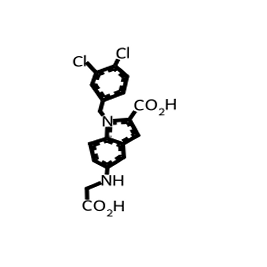 O=C(O)CNc1ccc2c(c1)cc(C(=O)O)n2Cc1ccc(Cl)c(Cl)c1